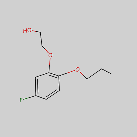 CCCOc1ccc(F)cc1OCCO